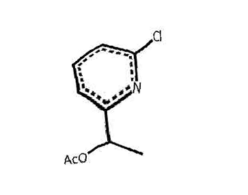 CC(=O)OC(C)c1cccc(Cl)n1